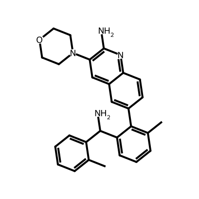 Cc1ccccc1C(N)c1cccc(C)c1-c1ccc2nc(N)c(N3CCOCC3)cc2c1